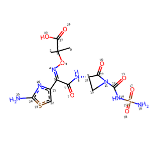 CC(C)(ON=C(C(=O)N[C@H]1CN(C(=O)NS(N)(=O)=O)C1=O)c1csc(N)n1)C(=O)O